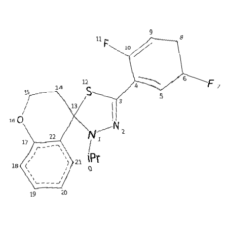 CC(C)N1N=C(C2=CC(F)CC=C2F)SC12CCOc1ccccc12